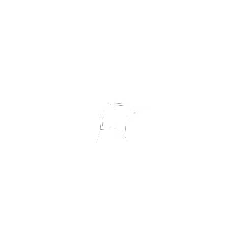 CC1=C/N=C\C(C)=C\C=C\1